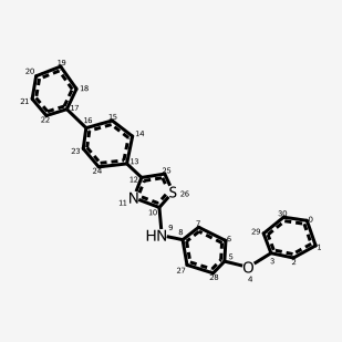 c1ccc(Oc2ccc(Nc3nc(-c4ccc(-c5ccccc5)cc4)cs3)cc2)cc1